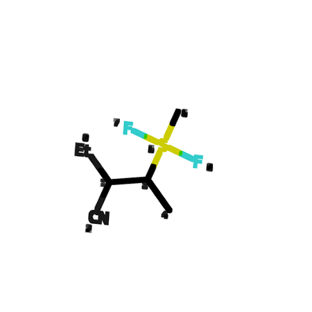 CCC(C#N)C(C)S(C)(F)F